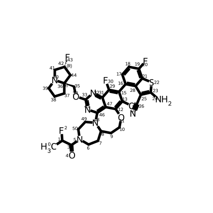 CC(F)C(=O)N1CCC2CCOc3c(Cl)c(-c4ccc(F)c5sc(N)c(C#N)c45)c(F)c4nc(OC[C@@]56CCCN5C[C@H](F)C6)nc(c34)N2CC1